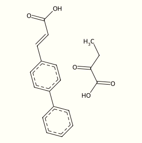 CCC(=O)C(=O)O.O=C(O)C=Cc1ccc(-c2ccccc2)cc1